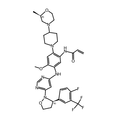 C=CC(=O)Nc1cc(Nc2cc(N3OCC[C@@H]3c3ccc(F)c(C(F)(F)F)c3)ncn2)c(OC)cc1N1CCC(N2CCO[C@H](C)C2)CC1